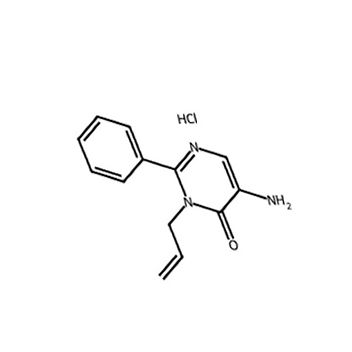 C=CCn1c(-c2ccccc2)ncc(N)c1=O.Cl